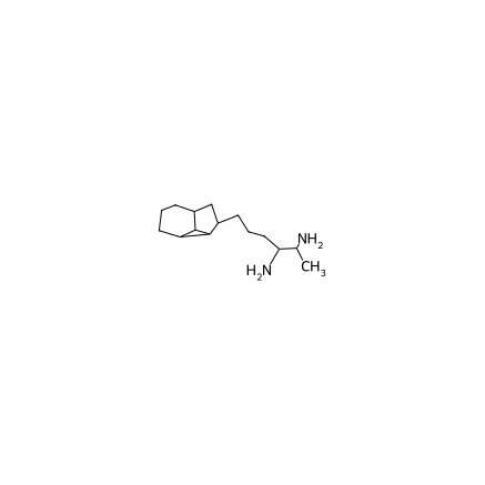 CC(N)C(N)CCCC1CC2CCCC3C1C23